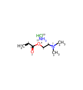 C=CC(=O)OCCN(C)C.Cl.N